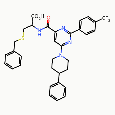 O=C(NC(CSCc1ccccc1)C(=O)O)c1cc(N2CCC(c3ccccc3)CC2)nc(-c2ccc(C(F)(F)F)cc2)n1